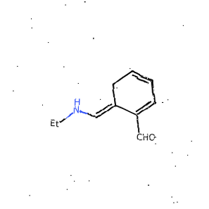 CCNC=C1CC=CC=C1[C]=O